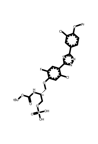 CC(C)Oc1ccc(-c2nnc(-c3cc(F)c(OC[C@H](COP(=O)(O)O)NC(=O)OC(C)(C)C)cc3Cl)s2)cc1Cl